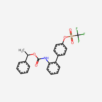 CC(OC(=O)Nc1ccccc1-c1ccc(OS(=O)(=O)C(F)(F)F)cc1)c1ccccc1